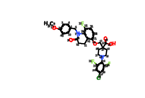 COc1ccc(CN2C(=O)CCc3c(OCC4(C(=O)O)CCN(c5c(F)cc(Cl)cc5F)CC4)ccc(F)c32)cc1